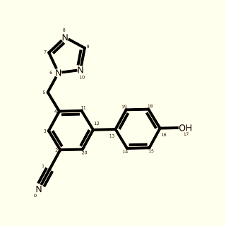 N#Cc1cc(Cn2cncn2)cc(-c2ccc(O)cc2)c1